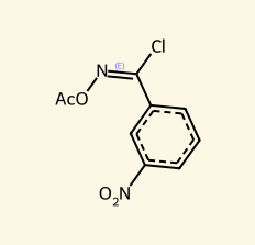 CC(=O)O/N=C(/Cl)c1cccc([N+](=O)[O-])c1